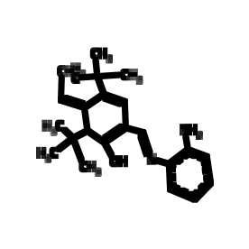 CC=C1C(C(C)(C)C)=CC(C=Nc2ccccc2N)=C(O)C1C(C)(C)C